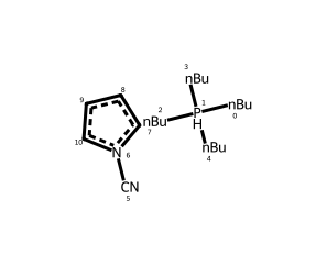 CCCC[PH](CCCC)(CCCC)CCCC.N#Cn1cccc1